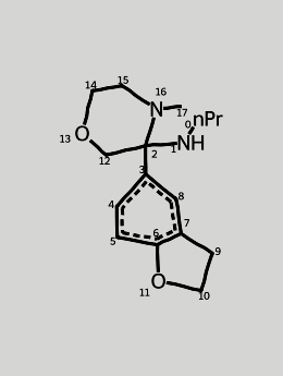 CCCNC1(c2ccc3c(c2)CCO3)COCCN1C